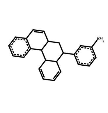 Bc1cccc(C2CC3C=Cc4ccccc4C3C3C=CC=CC23)c1